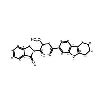 O=C(CC(C(=O)O)C(=O)N1Cc2ccccc2C1=O)c1ccc2c3c(oc2c1)CCCC3